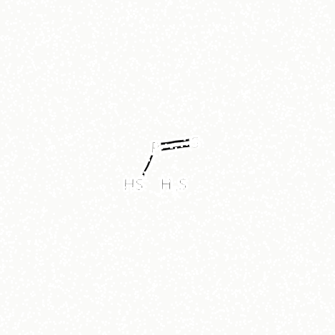 S.S=PS